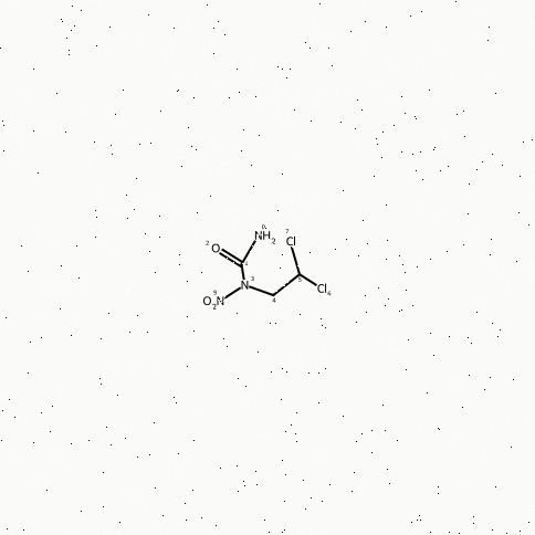 NC(=O)N(CC(Cl)Cl)[N+](=O)[O-]